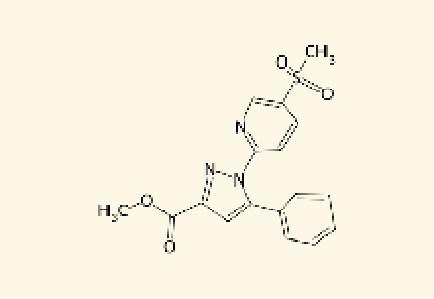 COC(=O)c1cc(-c2ccccc2)n(-c2ccc(S(C)(=O)=O)cn2)n1